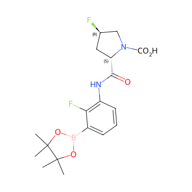 CC1(C)OB(c2cccc(NC(=O)[C@@H]3C[C@@H](F)CN3C(=O)O)c2F)OC1(C)C